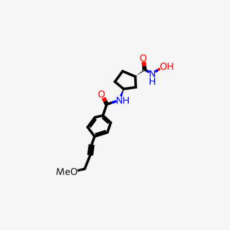 COCC#Cc1ccc(C(=O)N[C@H]2CC[C@H](C(=O)NO)C2)cc1